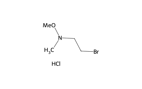 CON(C)CCBr.Cl